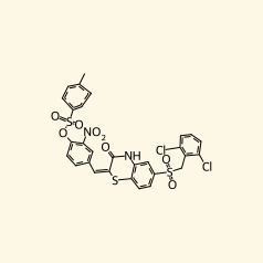 Cc1ccc(S(=O)(=O)Oc2ccc(/C=C3/Sc4ccc(S(=O)(=O)Cc5c(Cl)cccc5Cl)cc4NC3=O)cc2[N+](=O)[O-])cc1